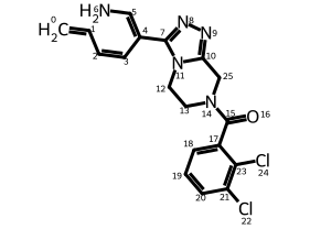 C=C/C=C\C(=C/N)c1nnc2n1CCN(C(=O)c1cccc(Cl)c1Cl)C2